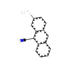 N#Cc1c2ccccc2cc2ccc(N)cc12